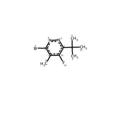 Cc1c(Br)nnc(C(C)(C)C)c1F